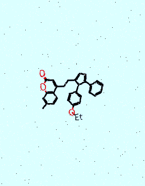 CCOc1ccc(C2C(CCc3cc(=O)oc4cc(C)ccc34)=CC=C2c2ccccc2)cc1